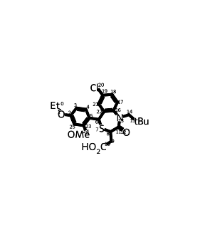 CCOc1ccc(C2SC(CC(=O)O)C(=O)N(CC(C)(C)C)c3ccc(Cl)cc32)c(OC)c1